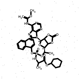 C=C(Nc1ncnc2c1ncn2[C@@H]1O[C@H](C(C)OP(=O)(NC(C)C(=O)OC2CCCCC2)Oc2cccc3ccccc23)C2OC(=O)OC21)OC